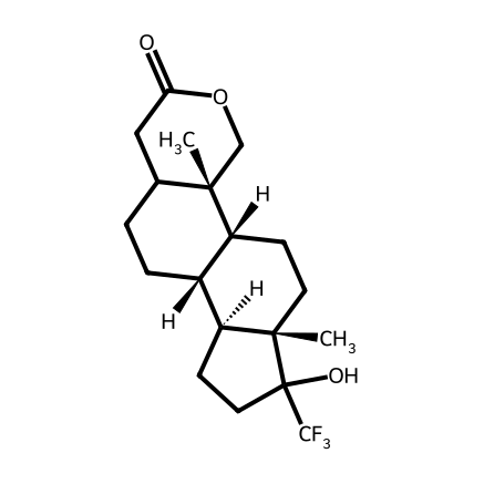 C[C@]12COC(=O)CC1CC[C@@H]1[C@H]2CC[C@@]2(C)[C@H]1CCC2(O)C(F)(F)F